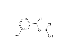 CCc1cccc(C(Cl)OB(O)O)c1